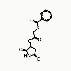 O=C1CC(OC(=O)CSC(=O)c2ccccc2)C(=O)N1